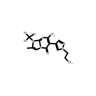 [2H]C([2H])([2H])n1c(C)cn2c(=O)c(-c3cnn(CCC(F)(F)F)c3)c(C(F)(F)F)nc12